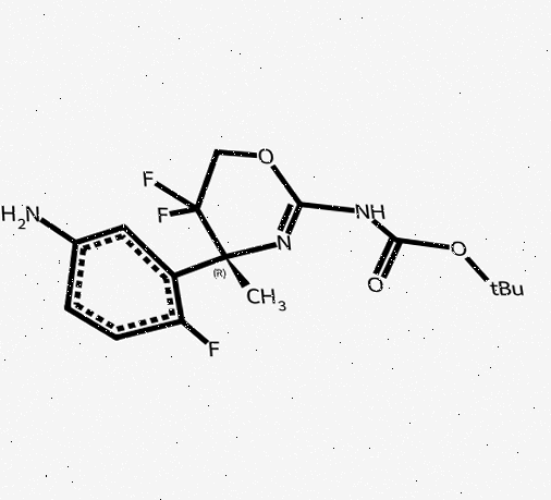 CC(C)(C)OC(=O)NC1=N[C@](C)(c2cc(N)ccc2F)C(F)(F)CO1